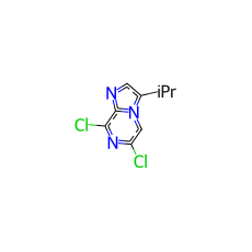 CC(C)c1cnc2c(Cl)nc(Cl)cn12